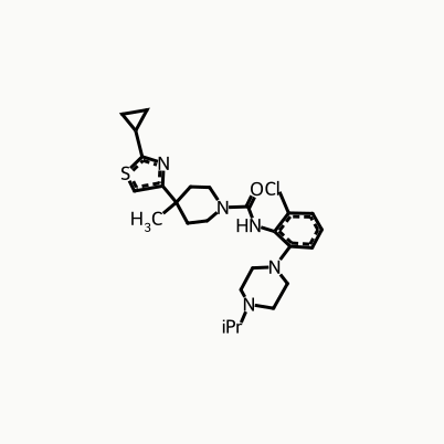 CC(C)N1CCN(c2cccc(Cl)c2NC(=O)N2CCC(C)(c3csc(C4CC4)n3)CC2)CC1